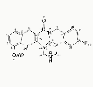 COc1cccc(CNC(=O)N(Cc2ccc(F)cc2)[C@@H]2CCNC[C@@H]2CF)c1